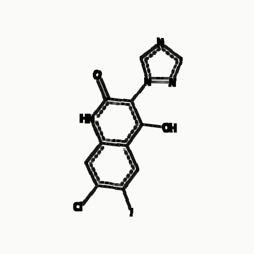 O=c1[nH]c2cc(Cl)c(I)cc2c(O)c1-n1cncn1